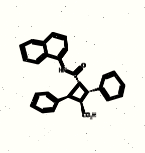 O=C(O)[C@H]1[C@@H](c2ccccc2)[C@H](C(=O)Nc2cccc3ccccc23)[C@@H]1c1ccccc1